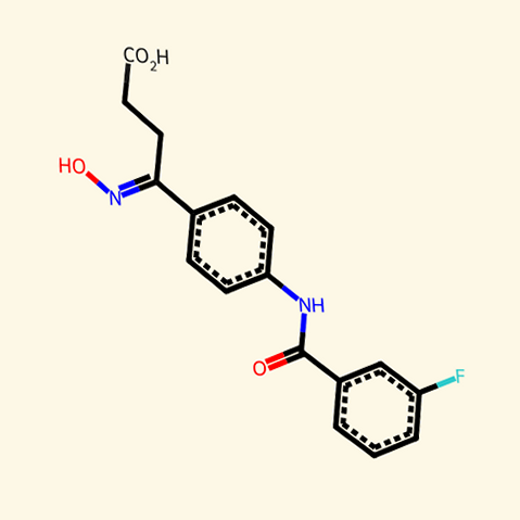 O=C(O)CCC(=NO)c1ccc(NC(=O)c2cccc(F)c2)cc1